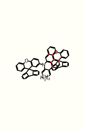 C/C=C(\C(=C/C)N(c1ccc2c(c1)C1(c3ccccc3O2)c2ccccc2-c2ccccc21)c1ccc2c(c1)C1(c3ccccc3O2)c2ccccc2-c2ccccc21)c1cccc(-c2ccccc2)c1